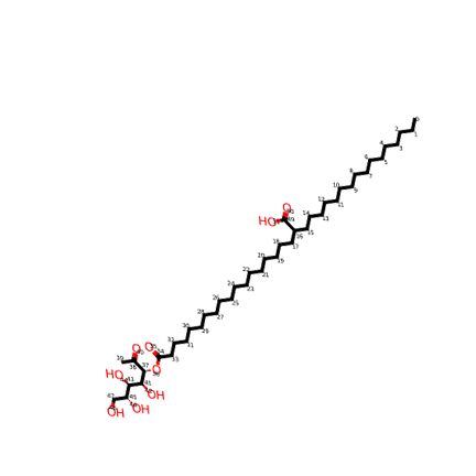 CCCCCCCCCCCCCCCCC(CCCCCCCCCCCCCCCCCC(=O)O[C@@H](C(C)=O)[C@@H](O)[C@H](O)[C@H](O)CO)C(=O)O